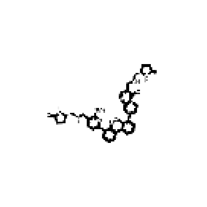 CNc1nc(-c2cccc(-c3cccc(-c4ccn5c(=O)c(CNC[C@H]6CCC(=O)N6)cnc5c4)c3Cl)c2Cl)ccc1CNC[C@@H]1CCC(=O)N1